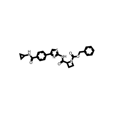 O=C(NC1CC1)c1ccc(-c2csc(NC(=O)C3CCN3C(=O)OCc3ccccc3)n2)cc1